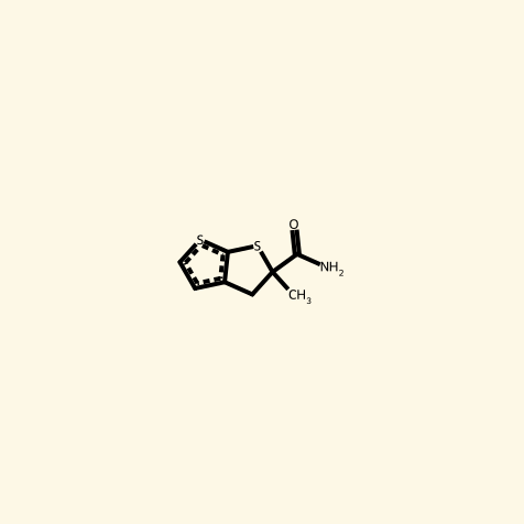 CC1(C(N)=O)Cc2ccsc2S1